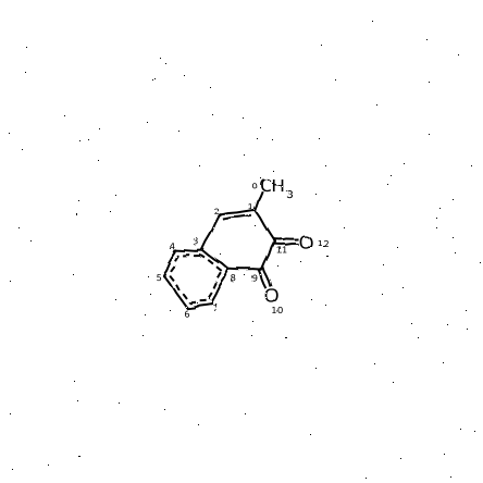 CC1=Cc2ccccc2C(=O)C1=O